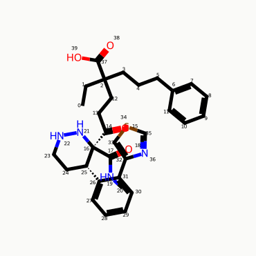 CCC(CCCc1ccccc1)(CCC(=O)[C@@]1(C(=O)NC)NNCC[C@H]1c1ccccc1-c1cscn1)C(=O)O